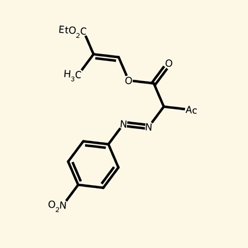 CCOC(=O)C(C)=COC(=O)C(N=Nc1ccc([N+](=O)[O-])cc1)C(C)=O